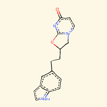 O=c1ccn2c(n1)OC(CCc1ccc3[nH]ccc3c1)C2